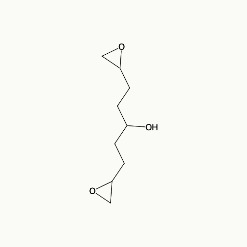 OC(CCC1CO1)CCC1CO1